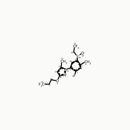 Cc1cc(F)c(-n2nc(OCCC(F)(F)F)cc2C)cc1[S+]([O-])CC(F)(F)F